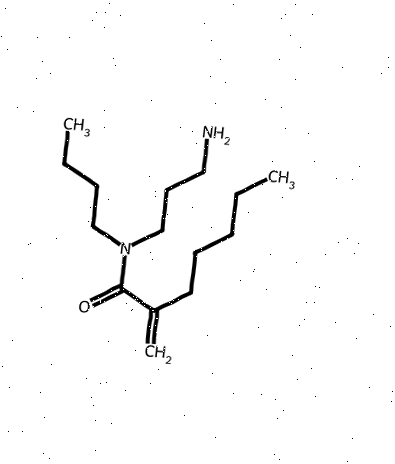 C=C(CCCCC)C(=O)N(CCCC)CCCN